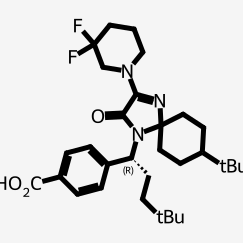 CC(C)(C)CC[C@H](c1ccc(C(=O)O)cc1)N1C(=O)C(N2CCCC(F)(F)C2)=NC12CCC(C(C)(C)C)CC2